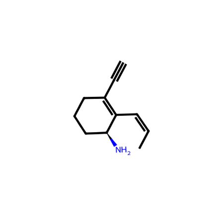 C#CC1=C(/C=C\C)[C@@H](N)CCC1